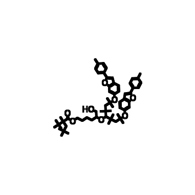 Cc1ccc(-c2cc3ccc(OC(C)(C)CC(C)(C)C(OC(CO)CCCCOC(=O)C(C)(CC(C)(C)C)C(C)(C)C)C(C)(C)CC(C)(C)Oc4ccc5cc(-c6ccc(C)cc6)oc5c4)cc3o2)cc1